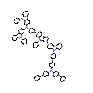 c1ccc(-c2ccc(N(c3ccc(-c4ccccc4)cc3)c3ccc(-c4ccc(-n5c6ccccc6c6cc(-c7ccc8c9ccc(-c%10ccc(N(c%11ccc%12c%13ccccc%13n(-c%13ccccc%13)c%12c%11)c%11ccc%12c%13ccccc%13n(-c%13ccccc%13)c%12c%11)cc%10)cc9n(-c9ccccc9)c8c7)ccc65)cc4)cc3)cc2)cc1